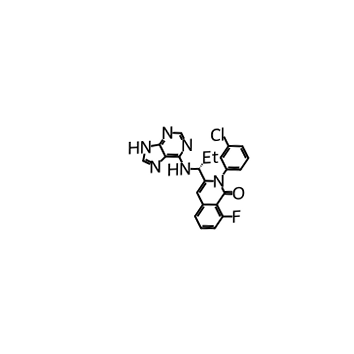 CC[C@@H](Nc1ncnc2[nH]cnc12)c1cc2cccc(F)c2c(=O)n1-c1cccc(Cl)c1